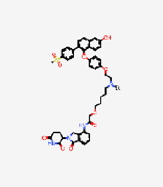 CCN(CCCCCOCC(=O)Nc1cccc2c1CN(C1CCC(=O)NC1=O)C2=O)CCOc1ccc(Oc2c(-c3ccc(S(C)(=O)=O)cc3)ccc3cc(O)ccc23)cc1